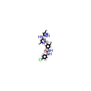 Cc1cc(Nc2cc(C)nc(Oc3ccc(NC(=O)Nc4ccc(Cl)cc4)cc3C)n2)[nH]n1